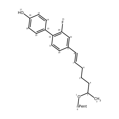 CCCCCOC(C)CCCC=Cc1ccc(-c2ccc(O)cc2)c(F)c1